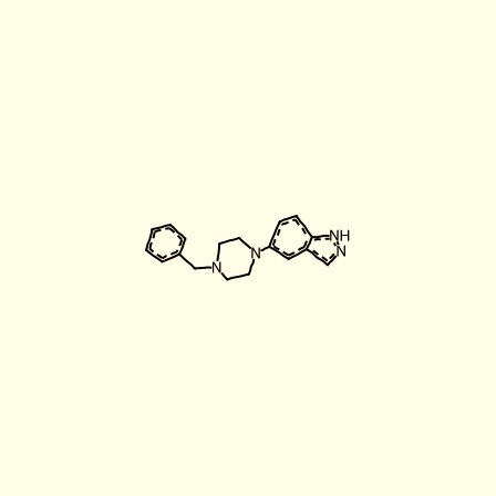 c1ccc(CN2CCN(c3ccc4[nH]ncc4c3)CC2)cc1